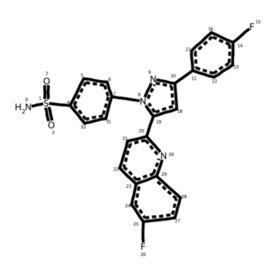 NS(=O)(=O)c1ccc(-n2nc(-c3ccc(F)cc3)cc2-c2ccc3cc(F)ccc3n2)cc1